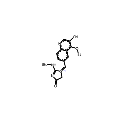 CCOc1c(C#N)cnc2ccc(/C=S3/CC(=O)N=C3NC(C)(C)C)cc12